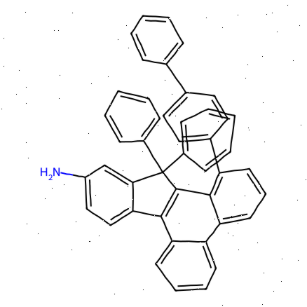 Nc1ccc2c(c1)C(c1ccccc1)(c1ccccc1)c1c-2c2ccccc2c2cccc(-c3ccc(-c4ccccc4)cc3)c12